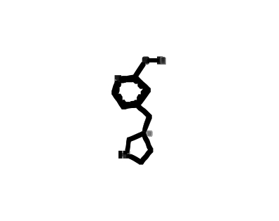 CCOc1cc(C[C@H]2CCNC2)ccn1